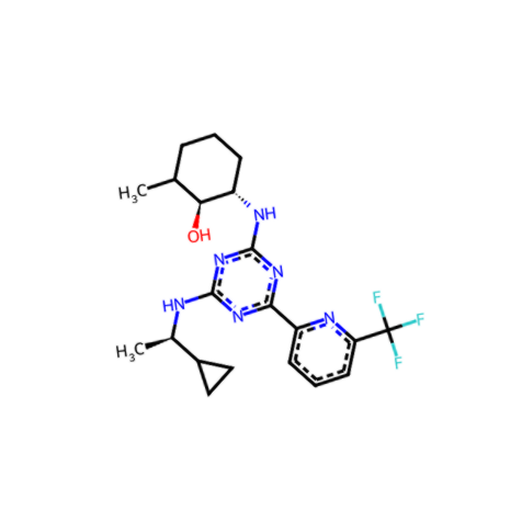 CC1CCC[C@H](Nc2nc(N[C@H](C)C3CC3)nc(-c3cccc(C(F)(F)F)n3)n2)[C@H]1O